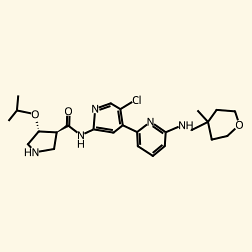 CC(C)O[C@H]1CNC[C@@H]1C(=O)Nc1cc(-c2cccc(NCC3(C)CCOCC3)n2)c(Cl)cn1